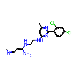 C/N=C\C=C(/N)NCCNc1cc(C)nc(-c2ccc(Cl)cc2Cl)n1